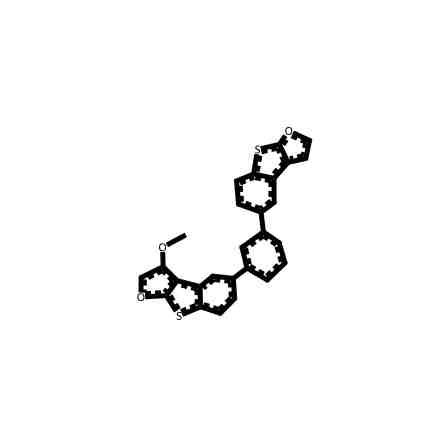 COc1coc2sc3ccc(-c4cccc(-c5ccc6sc7occc7c6c5)c4)cc3c12